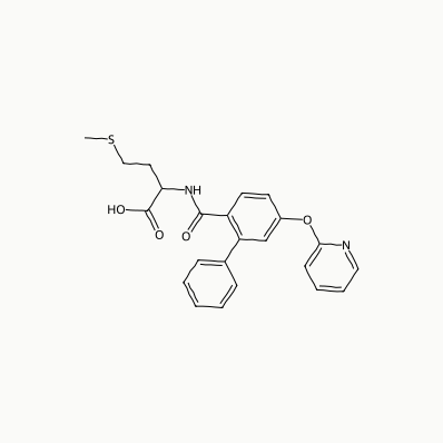 CSCCC(NC(=O)c1ccc(Oc2ccccn2)cc1-c1ccccc1)C(=O)O